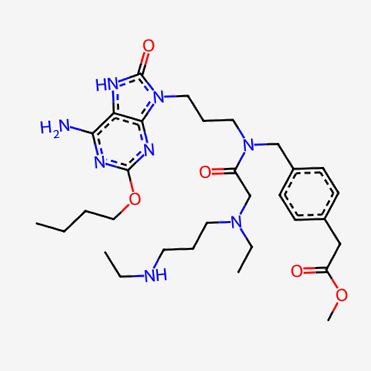 CCCCOc1nc(N)c2[nH]c(=O)n(CCCN(Cc3ccc(CC(=O)OC)cc3)C(=O)CN(CC)CCCNCC)c2n1